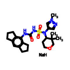 Cn1cc(N(C2CCOCC2(C)C)S(=O)(=O)NC(=O)Nc2c3c(cc4c2CCC4)CCC3)cn1.[NaH]